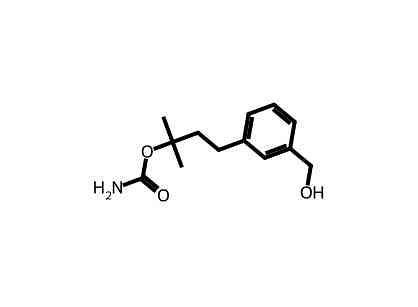 CC(C)(CCc1cccc(CO)c1)OC(N)=O